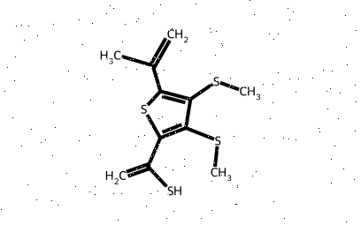 C=C(C)c1sc(C(=C)S)c(SC)c1SC